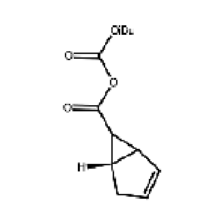 CC(C)COC(=O)OC(=O)C1C2C=CC[C@@H]21